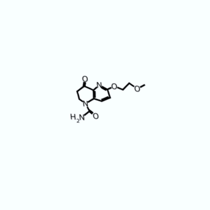 COCCOc1ccc2c(n1)C(=O)CCN2C(N)=O